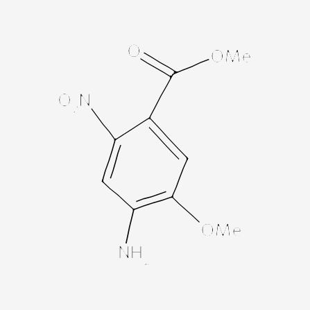 COC(=O)c1cc(OC)c(N)cc1[N+](=O)[O-]